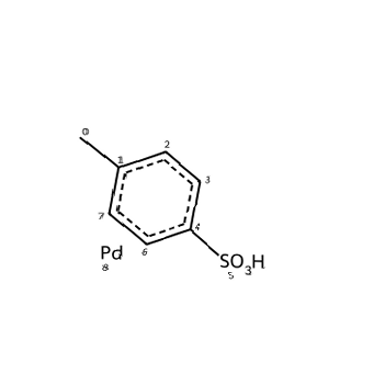 Cc1ccc(S(=O)(=O)O)cc1.[Pd]